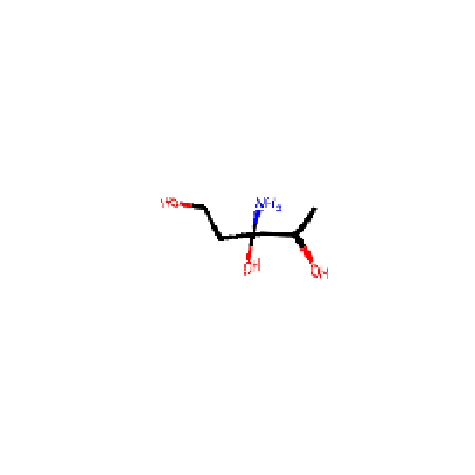 CC(O)[C@](N)(O)CCO